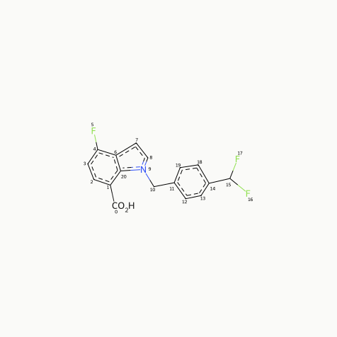 O=C(O)c1ccc(F)c2ccn(Cc3ccc(C(F)F)cc3)c12